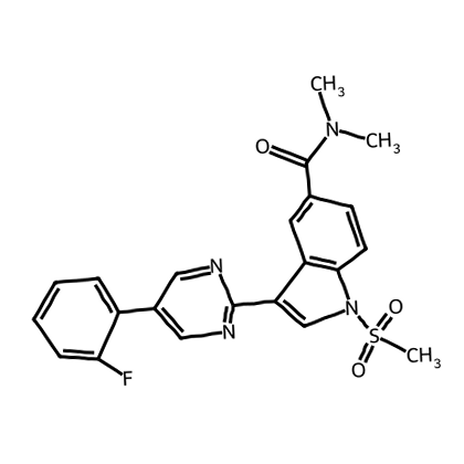 CN(C)C(=O)c1ccc2c(c1)c(-c1ncc(-c3ccccc3F)cn1)cn2S(C)(=O)=O